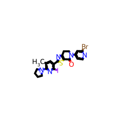 Cc1cc(-c2nc3c(s2)C(=O)N(c2ccnc(Br)c2)CC3)c(I)nc1N1CCCC1